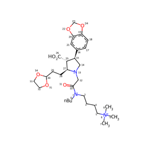 CCCCN(CCCC[N+](C)(C)C)C(=O)CN1C[C@H](c2ccc3c(c2)OCO3)[C@@H](C(=O)O)[C@@H]1CCC1OCCO1